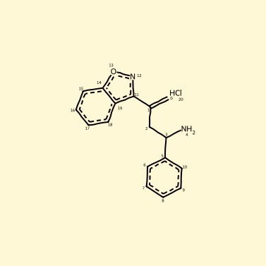 C=C(CC(N)c1ccccc1)c1noc2ccccc12.Cl